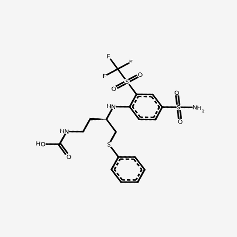 NS(=O)(=O)c1ccc(N[C@H](CCNC(=O)O)CSc2ccccc2)c(S(=O)(=O)C(F)(F)F)c1